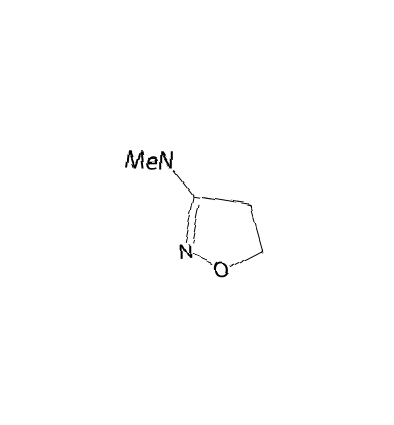 CNC1=NOCC1